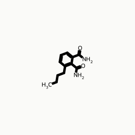 CCCCc1cccc(C(N)=O)c1C(N)=O